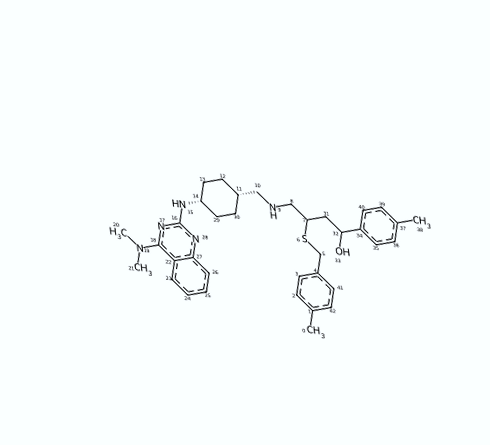 Cc1ccc(CSC(CNC[C@H]2CC[C@@H](Nc3nc(N(C)C)c4ccccc4n3)CC2)CC(O)c2ccc(C)cc2)cc1